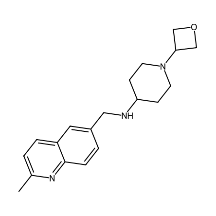 Cc1ccc2cc(CNC3CCN(C4COC4)CC3)ccc2n1